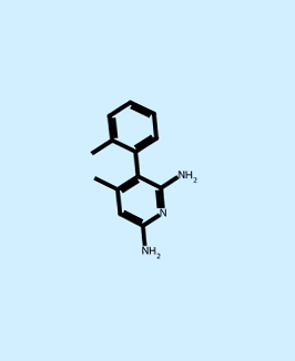 Cc1ccccc1-c1c(C)cc(N)nc1N